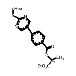 CCCCCCSc1ncc(-c2ccc(C(=O)O[C@@H](C)C(=O)OCC)cc2)cn1